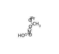 CC(CCOC(C)C)COC1CCN(C(=O)C2CC(O)C2)CC1